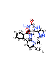 Cn1nccc1C1(CNC(=O)c2ccccc2-c2ccc(C(F)(F)F)nc2)NC(=O)NC1=O